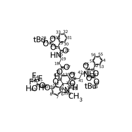 CN1CC[C@]23c4c5ccc(O)c4O[C@H]2C(OC(=O)CCNC(=O)[C@@H](OC(=O)OC(C)(C)C)c2ccccc2)=CC[C@@]3(OC(=O)CCNC(=O)[C@@H](OC(=O)OC(C)(C)C)c2ccccc2)[C@H]1C5.O=C(O)C(F)(F)F